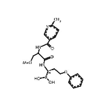 COCC(NC(=O)c1ccc(C)nc1)C(=O)N[C@@H](CCOc1ccccc1)B(O)O